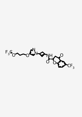 O=C1C[C@H](C(=O)NC23CC(n4cc(OCCCOC(F)(F)F)cn4)(C2)C3)Oc2ccc(C(F)(F)F)cc21